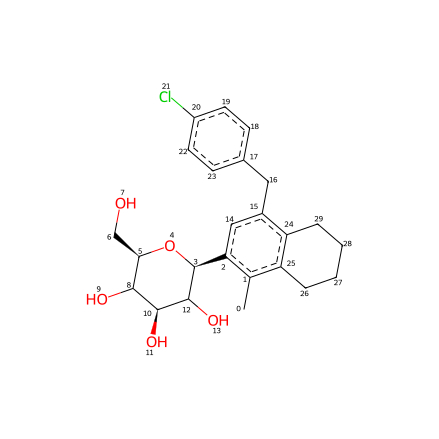 Cc1c([C@@H]2O[C@H](CO)C(O)[C@H](O)C2O)cc(Cc2ccc(Cl)cc2)c2c1CCCC2